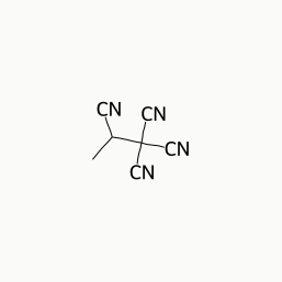 CC(C#N)C(C#N)(C#N)C#N